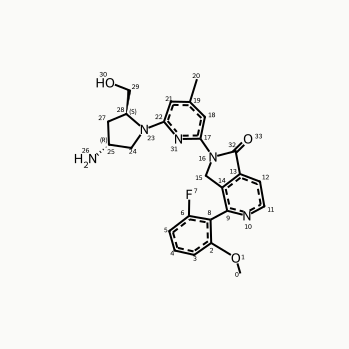 COc1cccc(F)c1-c1nccc2c1CN(c1cc(C)cc(N3C[C@H](N)C[C@H]3CO)n1)C2=O